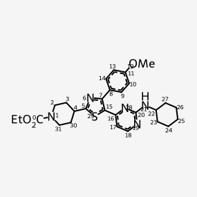 CCOC(=O)N1CCC(c2nc(-c3ccc(OC)cc3)c(-c3ccnc(NC4CCCCC4)n3)s2)CC1